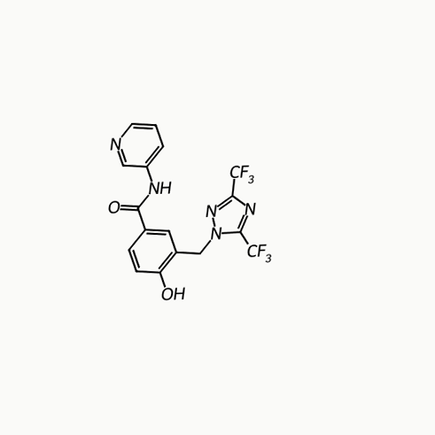 O=C(Nc1cccnc1)c1ccc(O)c(Cn2nc(C(F)(F)F)nc2C(F)(F)F)c1